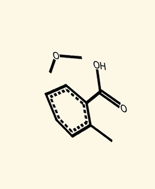 COC.Cc1ccccc1C(=O)O